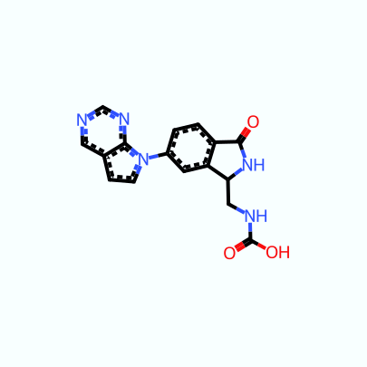 O=C(O)NCC1NC(=O)c2ccc(-n3ccc4cncnc43)cc21